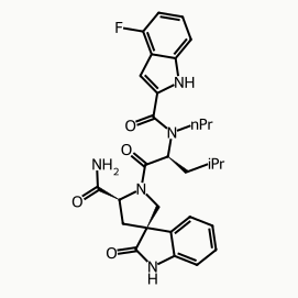 CCCN(C(=O)c1cc2c(F)cccc2[nH]1)[C@@H](CC(C)C)C(=O)N1C[C@]2(C[C@H]1C(N)=O)C(=O)Nc1ccccc12